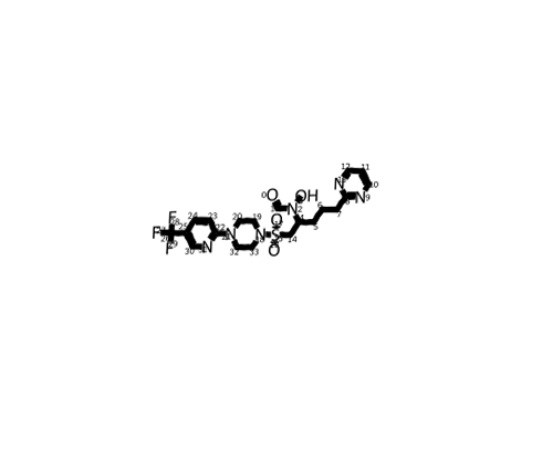 O=CN(O)C(CCCc1ncccn1)CS(=O)(=O)N1CCN(c2ccc(C(F)(F)F)cn2)CC1